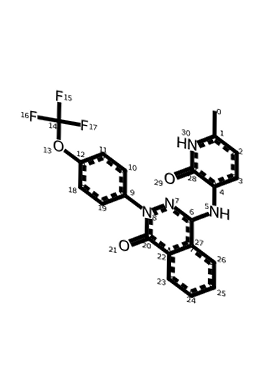 Cc1ccc(Nc2nn(-c3ccc(OC(F)(F)F)cc3)c(=O)c3ccccc23)c(=O)[nH]1